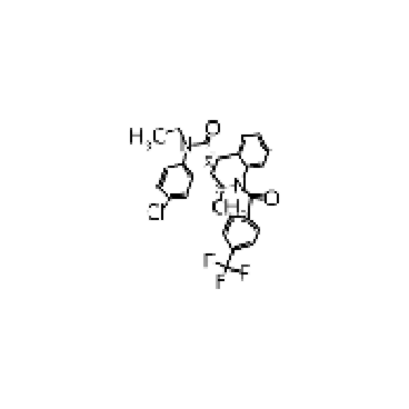 CCN(C(=O)[C@H]1C[C@H](C)N(C(=O)c2ccc(C(F)(F)F)cc2)c2ccccc21)c1ccc(Cl)cc1